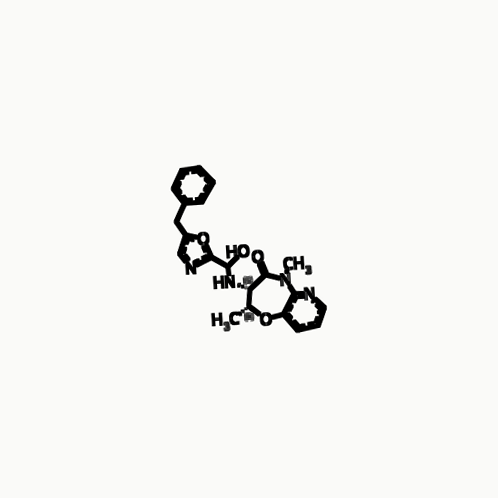 C[C@H]1Oc2cccnc2N(C)C(=O)[C@H]1NC(O)c1ncc(Cc2ccccc2)o1